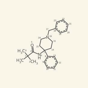 CC(C)(C)C(=O)NC1(c2ccccc2)CCN(Cc2ccccc2)CC1